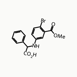 COC(=O)c1cc(NC(C(=O)O)c2ccccc2)ccc1Br